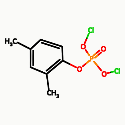 Cc1ccc(OP(=O)(OCl)OCl)c(C)c1